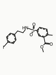 COC(=O)c1cc(S(=O)(=O)NCCc2ccc(I)cc2)ccc1C